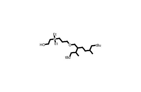 CC[Si](CC)(CCO)CCCOCC(CCC(C)CC(C)(C)C)C(C)CC(C)(C)C